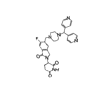 O=C1CCC(N2Cc3cc(CN4CCN(C(c5ccncc5)c5ccncc5)CC4)c(F)cc3C2=O)C(=O)N1